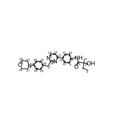 CCC(C)(O)C(=O)Nc1ccc(-c2ccnc(Cc3ccc(N4CCOCC4)cc3)n2)cc1